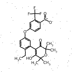 CCc1ccc(Oc2ccc([N+](=O)[O-])c(C(F)(F)F)c2)cc1C1=C(O)C(C)(C)OC(C)(C)C1=O